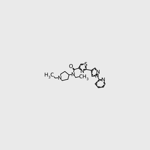 CCN1CCC(N(CC)C(=O)c2csc(-c3cnn(-c4ccccn4)c3)n2)CC1